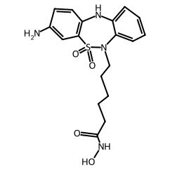 Nc1ccc2c(c1)S(=O)(=O)N(CCCCCC(=O)NO)c1ccccc1N2